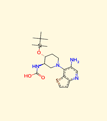 CC(C)(C)[Si](C)(C)O[C@@H]1CCN(c2c(N)cnc3ccsc23)C[C@H]1NC(=O)O